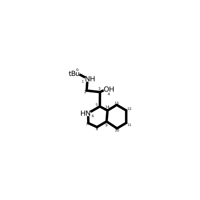 CC(C)(C)NCC(O)C1NCCC2CCCCC21